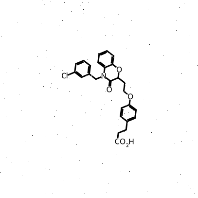 O=C(O)CCc1ccc(OCCC2Oc3ccccc3N(Cc3cccc(Cl)c3)C2=O)cc1